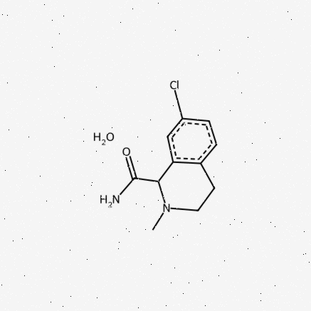 CN1CCc2ccc(Cl)cc2C1C(N)=O.O